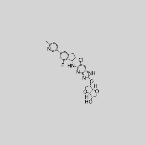 Cc1ccc(-c2cc(F)c3c(c2)CC[C@@H]3Nc2nc3nc(O[C@@H]4CO[C@H]5[C@@H]4OC[C@H]5O)[nH]c3cc2Cl)cn1